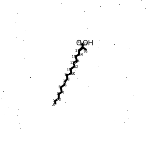 CCCCCCCCCCCCC/C=C/CC/C=C(\C)C(=O)O